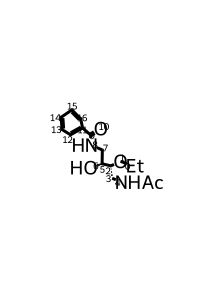 CCO[C@H](CNC(C)=O)[C@@H](O)CNC(=O)c1ccccc1